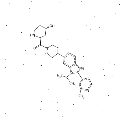 Cc1cc(-c2[nH]c3ccc(C4CCN(C(=O)[C@@H]5C[C@H](O)CCN5)CC4)cc3c2C(C)C)ccn1